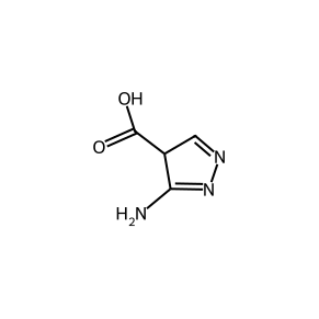 NC1=NN=CC1C(=O)O